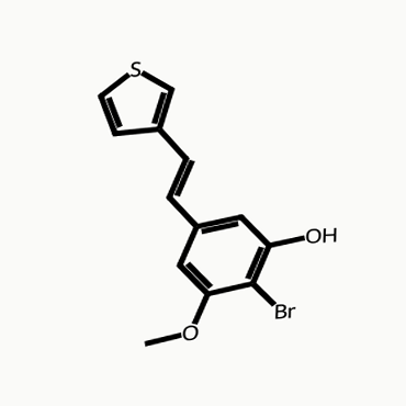 COc1cc(C=Cc2ccsc2)cc(O)c1Br